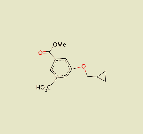 COC(=O)c1cc(OCC2CC2)cc(C(=O)O)c1